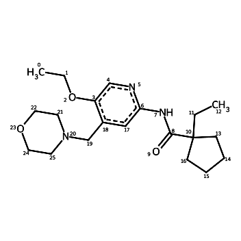 CCOc1cnc(NC(=O)C2(CC)CCCC2)cc1CN1CCOCC1